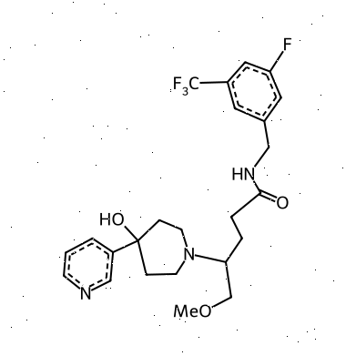 COCC(CCC(=O)NCc1cc(F)cc(C(F)(F)F)c1)N1CCC(O)(c2cccnc2)CC1